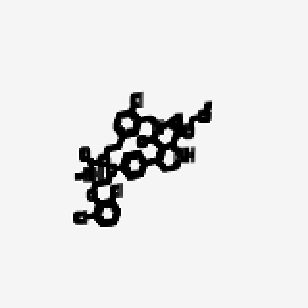 CNC(=O)OCCc1ccc(Cl)c(CN(C(=O)C2=C(c3ccc(OCCOc4c(Cl)cccc4Cl)cc3)CCNC2COCOC)C2CC2)c1